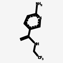 C=C(NCC(F)(F)F)c1ccc(N)nc1